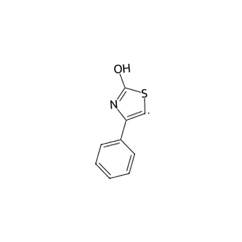 Oc1nc(-c2ccccc2)[c]s1